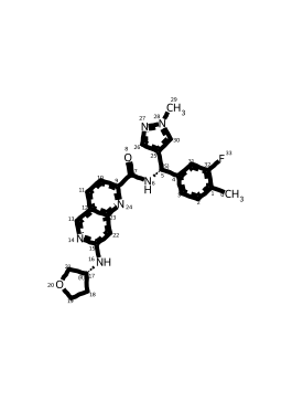 Cc1ccc([C@H](NC(=O)c2ccc3cnc(N[C@@H]4CCOC4)cc3n2)c2cnn(C)c2)cc1F